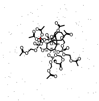 CC(=O)OCOP(=O)(OCOC(C)=O)O[C@@H]1[C@@H](OP(=O)(OCOC(C)=O)OCOC(C)=O)[C@H](OP(=O)(OCOC(C)=O)OCOC(C)=O)[C@]2(OP(=O)(OCOC(C)=O)OCOC(C)=O)C3(CCCCC3)[C@]2(O)[C@H]1O